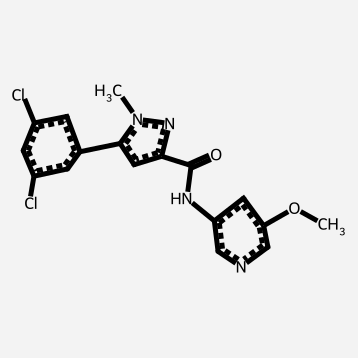 COc1cncc(NC(=O)c2cc(-c3cc(Cl)cc(Cl)c3)n(C)n2)c1